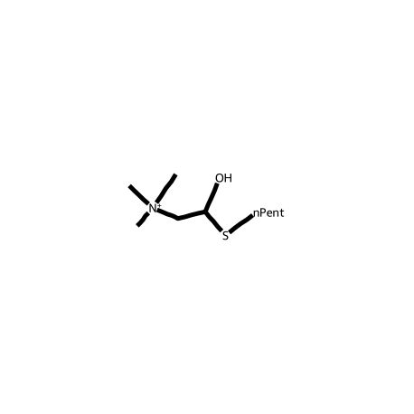 CCCCCSC(O)C[N+](C)(C)C